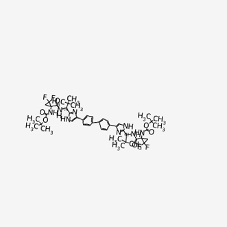 CC(C)(C)OC(=O)NC1(C(=O)N[C@H](c2nc(-c3ccc(-c4ccc(-c5c[nH]c([C@@H](NC(=O)C6(NC(=O)OC(C)(C)C)CC6(F)F)C(C)(C)C)n5)cc4)cc3)c[nH]2)C(C)(C)C)CC1(F)F